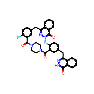 O=C(c1cc(Cc2n[nH]c(=O)c3ccccc23)ccc1F)N1CCN(C(=O)c2cc(Cc3n[nH]c(=O)c4ccccc34)ccc2F)CC1